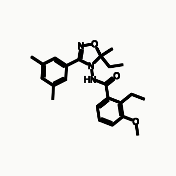 CCc1c(OC)cccc1C(=O)NN1C(c2cc(C)cc(C)c2)=NOC1(C)CC